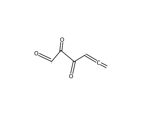 C=C=CC(=O)C(=O)[C]=O